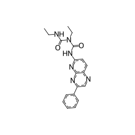 CCNC(=O)N(CC)C(=O)Nc1ccc2ncc(-c3ccccc3)nc2n1